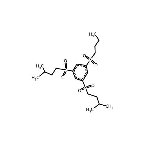 CCCCS(=O)(=O)c1cc(S(=O)(=O)CCC(C)C)cc(S(=O)(=O)CCC(C)C)c1